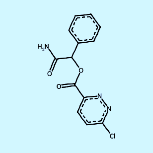 NC(=O)C(OC(=O)c1ccc(Cl)nn1)c1ccccc1